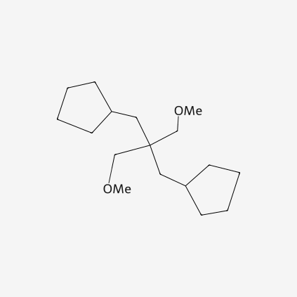 COCC(COC)(CC1CCCC1)CC1CCCC1